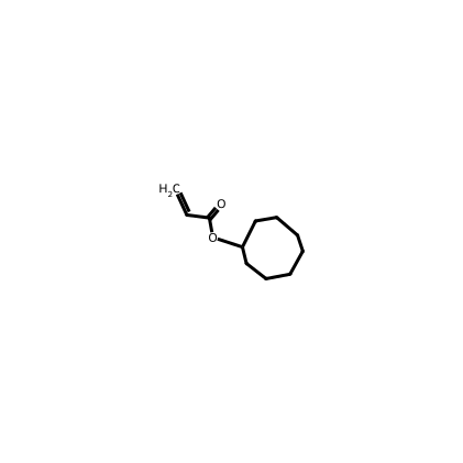 C=CC(=O)OC1CCCCCCC1